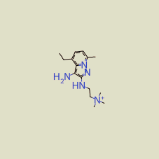 CCc1ccc(C)n2nc(NCC[N+](C)(C)C)c(N)c12